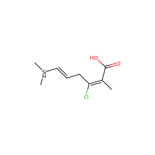 CC(C(=O)O)=C(Cl)CC=C[SiH](C)C